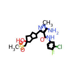 Cn1nc(C2CC3CC(O)(CS(C)(=O)=O)CC3C2)c(C(=O)Nc2ccc(F)c(Cl)c2)c1N